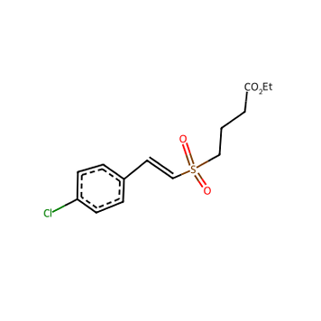 CCOC(=O)CCCS(=O)(=O)C=Cc1ccc(Cl)cc1